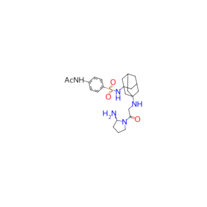 CC(=O)Nc1ccc(S(=O)(=O)NC23CC4CC(CC(NCC(=O)N5CCC[C@H]5N)(C4)C2)C3)cc1